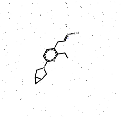 CCc1nc(N2CC3CC3C2)ccc1C/C=N/O